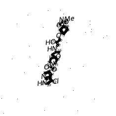 CNS(=O)(=O)c1cccc(OCC(O)CN[C@H]2COC3(CCN(S(=O)(=O)c4cnc5[nH]cc(Cl)c5c4)CC3)C2)c1